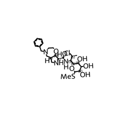 CSC1O[C@H]([C@H](NC(=O)[C@H]2NC[C@@H]3CN(Cc4ccccc4)CCO[C@H]32)[C@H](C)Cl)[C@@H](O)C(O)[C@H]1O